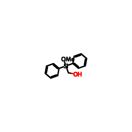 CO[Si](CO)(c1ccccc1)c1ccccc1